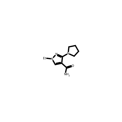 CCn1cc(C(N)=O)c(N2CCCC2)n1